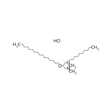 CCCCCCCCCCCCCCCCOC(COCCCCCCCCCC)CN(C)C.Cl